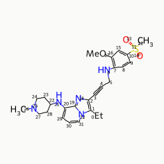 CCc1c(C#CCNc2ccc(S(C)(=O)=O)cc2OC)nc2c(NC3CCN(C)CC3)cccn12